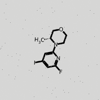 C[C@@H]1COCCN1c1cc(I)cc(F)n1